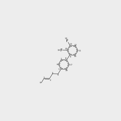 CC=CCCc1ccc(-c2cccc(F)c2F)cc1